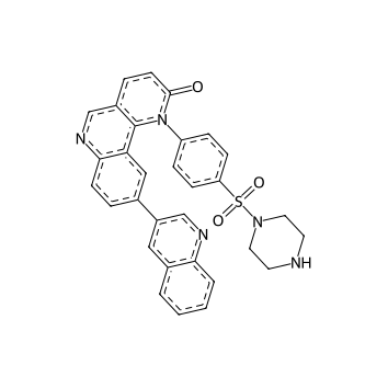 O=c1ccc2cnc3ccc(-c4cnc5ccccc5c4)cc3c2n1-c1ccc(S(=O)(=O)N2CCNCC2)cc1